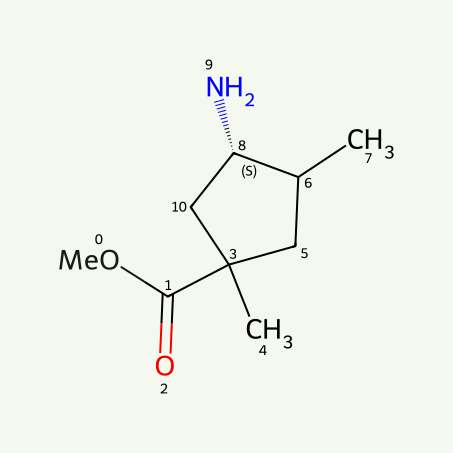 COC(=O)C1(C)CC(C)[C@@H](N)C1